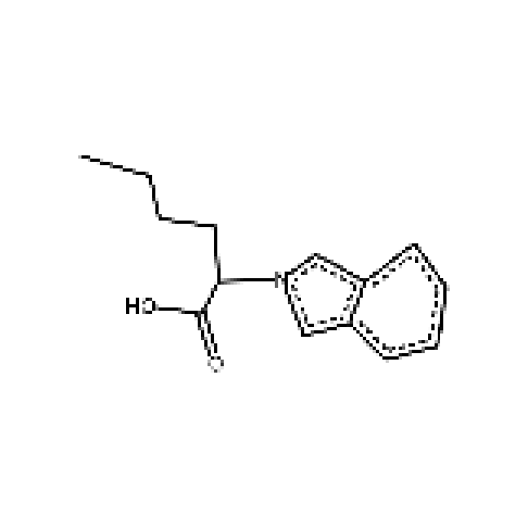 CCCCC(C(=O)O)n1cc2ccccc2c1